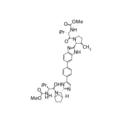 C=C1CCN(C(=O)[C@@H](NC(=O)OC)C(C)C)[C@@H]1c1nc2ccc(-c3ccc(-c4cnc([C@@H]5[C@H]6CC[C@H](C6)N5C(=O)[C@@H](NC(=O)OC)C(C)C)[nH]4)cc3)cc2[nH]1